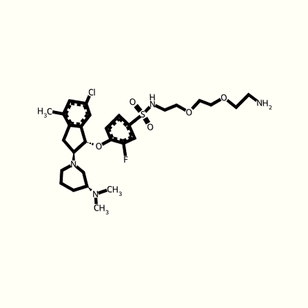 Cc1cc(Cl)cc2c1C[C@H](N1CCC[C@@H](N(C)C)C1)[C@H]2Oc1ccc(S(=O)(=O)NCCOCCOCCN)cc1F